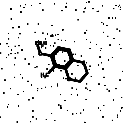 Cc1c(OC(=O)O)ccc2c1OCCS2